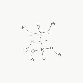 CC(C)OP(=O)(OC(C)C)C(C)(OS)P(=O)(OC(C)C)OC(C)C